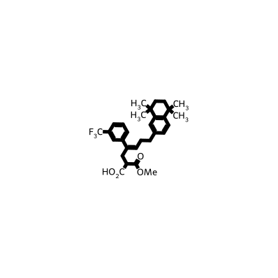 COC(=O)C(CC(=CCCc1ccc2c(c1)C(C)(C)CCC2(C)C)c1cccc(C(F)(F)F)c1)C(=O)O